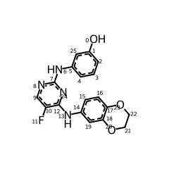 Oc1cccc(Nc2ncc(F)c(Nc3ccc4c(c3)OCCO4)n2)c1